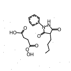 CCCCC1C(=O)NN(c2ccccc2)C1=O.O=C(O)CCC(=O)OO